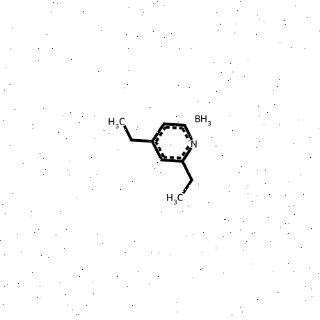 B.CCc1ccnc(CC)c1